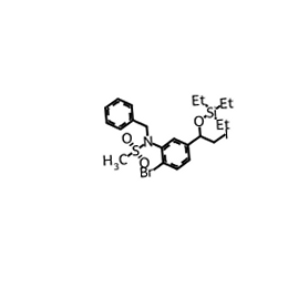 CC[Si](CC)(CC)OC(CI)c1ccc(Br)c(N(Cc2ccccc2)S(C)(=O)=O)c1